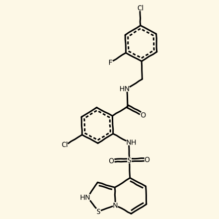 O=C(NCc1ccc(Cl)cc1F)c1ccc(Cl)cc1NS(=O)(=O)C1=CC=CN2SNC=C12